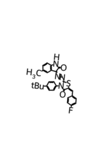 Cc1ccc2c(c1)C(=NN=C1SC(=Cc3ccc(F)cc3)C(=O)N1c1ccc(C(C)(C)C)cc1)C(=O)N2